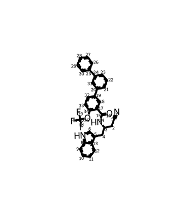 N#CCC(Cc1c[nH]c2ccccc12)NC(=O)c1cc(-c2cccc(-c3ccccc3)c2)ccc1OC(F)(F)F